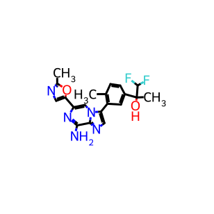 Cc1ncc(-c2cn3c(-c4cc(C(C)(O)C(F)F)ccc4C)cnc3c(N)n2)o1